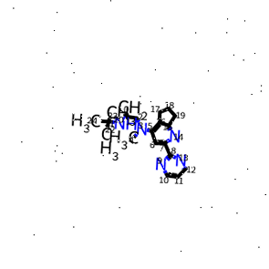 C=C(CN(C)c1cc(-c2ncccn2)nc2c1CCC2)NC(C)(C)C